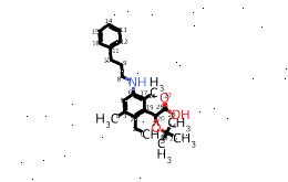 CCc1c(C)cc(NCCCc2ccccc2)c(C)c1C(OC(C)(C)C)C(=O)O